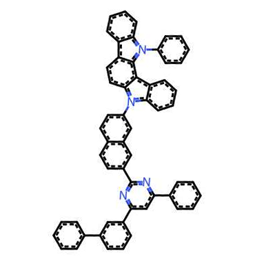 c1ccc(-c2cccc(-c3cc(-c4ccccc4)nc(-c4ccc5ccc(-n6c7ccccc7c7c6ccc6c8ccccc8n(-c8ccccc8)c67)cc5c4)n3)c2)cc1